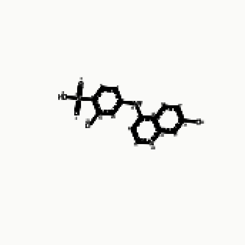 O=S(=O)(O)c1ccc(Nc2ccnc3cc(Cl)ccc23)cc1Cl